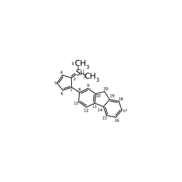 C[Si](C)=C1C=CC=C1c1[c]c2c(cc1)-c1ccccc1C2